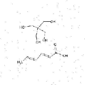 C/C=C/C=C/C(=O)O.OCC(CO)(CO)CO